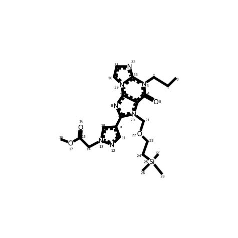 CCCn1c(=O)c2c(nc(-c3cnn(CC(=O)OC)c3)n2COCC[Si](C)(C)C)n2ccnc12